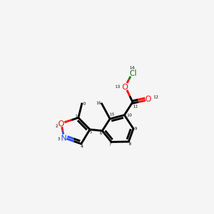 Cc1oncc1-c1cccc(C(=O)OCl)c1C